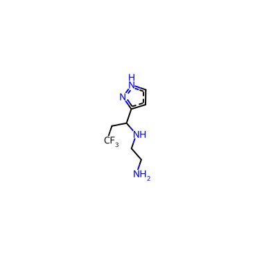 NCCNC(CC(F)(F)F)c1cc[nH]n1